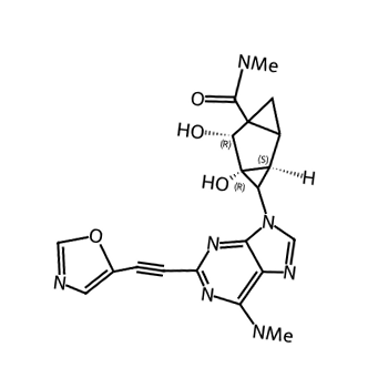 CNC(=O)C12CC1[C@H]1C(n3cnc4c(NC)nc(C#Cc5cnco5)nc43)[C@@]1(O)[C@@H]2O